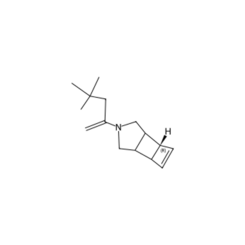 C=C(CC(C)(C)C)N1CC2C3C=C[C@H]3C2C1